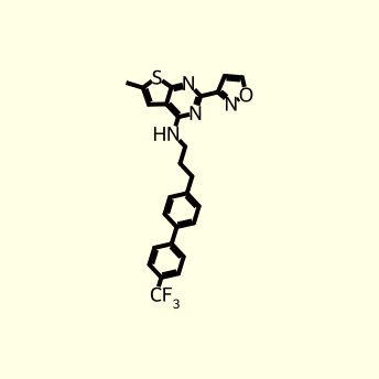 Cc1cc2c(NCCCc3ccc(-c4ccc(C(F)(F)F)cc4)cc3)nc(-c3ccon3)nc2s1